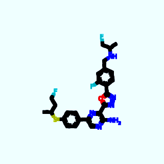 CC(CF)NCc1ccc(-c2nnc(-c3nc(-c4ccc(SC(C)CCF)cc4)cnc3N)o2)c(F)c1